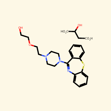 O=C(O)CC(O)C(=O)O.OCCOCCN1CCN(C2=Nc3ccccc3Sc3ccccc32)CC1